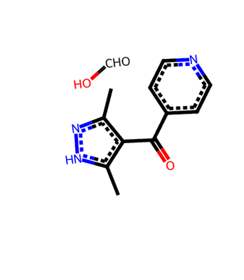 Cc1n[nH]c(C)c1C(=O)c1ccncc1.O=CO